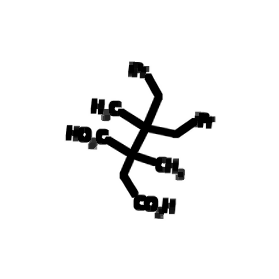 CC(C)CC(C)(CC(C)C)C(C)(CC(=O)O)C(=O)O